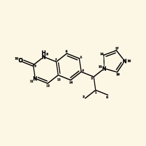 CC(C)C(c1ccc2[nH]c(=O)ncc2c1)n1ccnc1